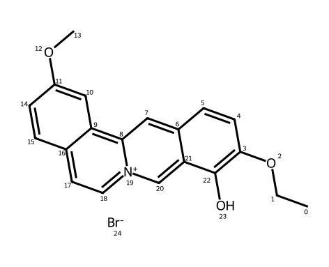 CCOc1ccc2cc3c4cc(OC)ccc4cc[n+]3cc2c1O.[Br-]